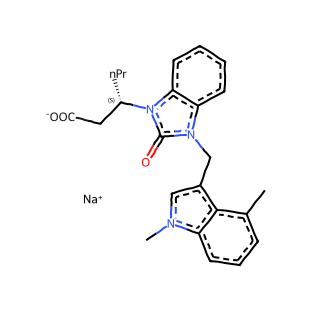 CCC[C@@H](CC(=O)[O-])n1c(=O)n(Cc2cn(C)c3cccc(C)c23)c2ccccc21.[Na+]